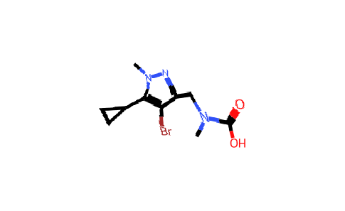 CN(Cc1nn(C)c(C2CC2)c1Br)C(=O)O